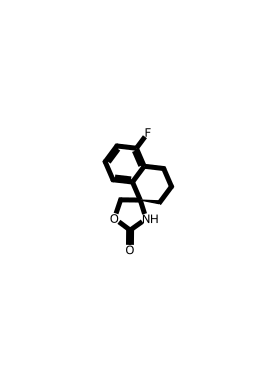 O=C1N[C@]2(CCCc3c(F)cccc32)CO1